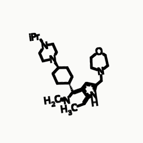 C=N/C(=c1/cc(CN2CCOCC2)[nH]/c1=C/C)[C@H]1CC[C@H](N2CCN(C(C)C)CC2)CC1